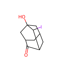 O=C1C2CC3CC1C(I)C(O)(C3)C2